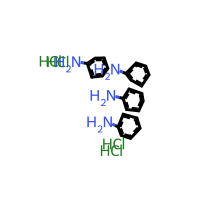 Cl.Cl.Cl.Cl.Nc1ccccc1.Nc1ccccc1.Nc1ccccc1.Nc1ccccc1